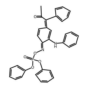 CC(=O)C(=C1C=CC(=NOP(=O)(Oc2ccccc2)Oc2ccccc2)C(Nc2ccccc2)=C1)c1ccccc1